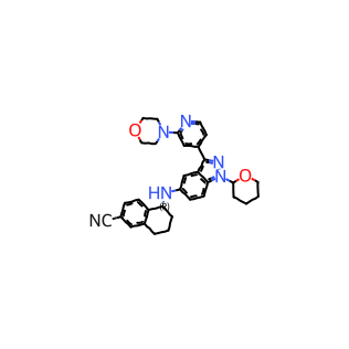 N#Cc1ccc2c(c1)CCC[C@H]2Nc1ccc2c(c1)c(-c1ccnc(N3CCOCC3)c1)nn2C1CCCCO1